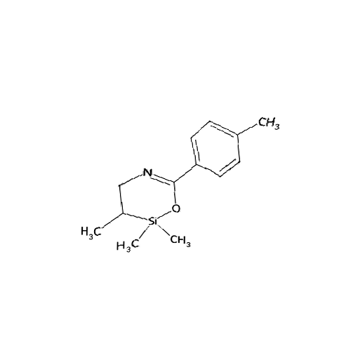 Cc1ccc(C2=NCC(C)[Si](C)(C)O2)cc1